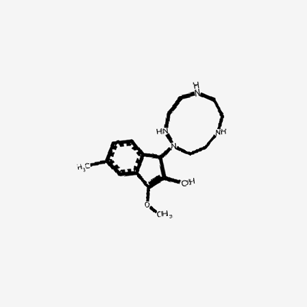 COC1=C(O)C(N2CCNCCNCCN2)c2ccc(C)cc21